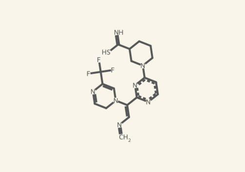 C=N/C=C(/c1nccc(N2CCCC(C(=N)S)C2)n1)N1C=C(C(F)(F)F)N=CC1